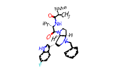 CN[C@@H](C)C(=O)N[C@H](C(=O)N1CC[C@@H]2[C@H]1[C@@H](c1c[nH]c3cc(F)ccc13)CN2Cc1ccccc1)C(C)C